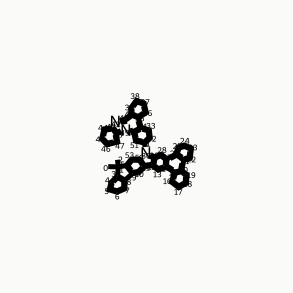 CC1(C)c2ccccc2-c2cc3c4cc5c6ccccc6c6ccccc6c5cc4n(-c4ccc5c6ccccc6c6nc7ccccc7n6c5c4)c3cc21